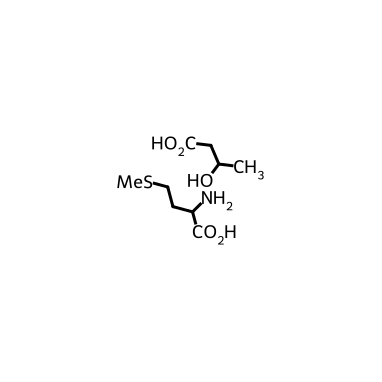 CC(O)CC(=O)O.CSCCC(N)C(=O)O